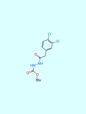 CC(C)(C)OC(=O)NNC(=O)Cc1ccc(Cl)c(Cl)c1